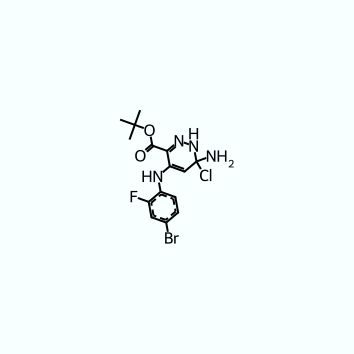 CC(C)(C)OC(=O)C1=NNC(N)(Cl)C=C1Nc1ccc(Br)cc1F